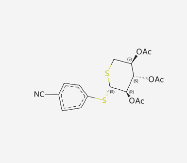 CC(=O)O[C@@H]1[C@@H](OC(C)=O)[C@H](Sc2ccc(C#N)cc2)SC[C@H]1OC(C)=O